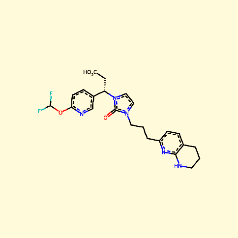 O=C(O)C[C@@H](c1ccc(OC(F)F)nc1)n1ccn(CCCc2ccc3c(n2)NCCC3)c1=O